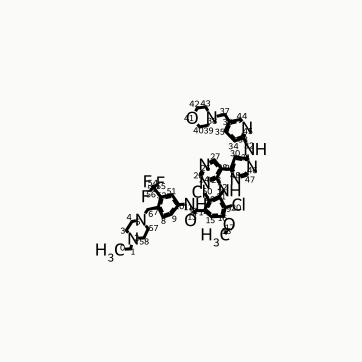 CCN1CCN(Cc2ccc(NC(=O)c3cc(OC)c(Cl)c(Nc4ncncc4-c4cc(Nc5ccc(CN6CCOCC6)cn5)ncn4)c3Cl)cc2C(F)(F)F)CC1